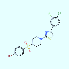 O=S(=O)(c1ccc(Br)cc1)C1CCN(c2nc(-c3ccc(Cl)c(F)c3)cs2)CC1